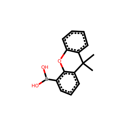 CC1(C)c2ccccc2Oc2c(B(O)O)cccc21